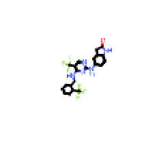 O=C1Cc2cc(Nc3ncc(C(F)(F)F)c(NCc4ccccc4C(F)(F)F)n3)ccc2N1